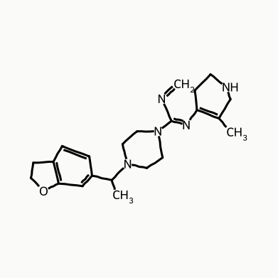 C=N/C(=N\C1=C(C)CNCC1)N1CCN(C(C)c2ccc3c(c2)OCC3)CC1